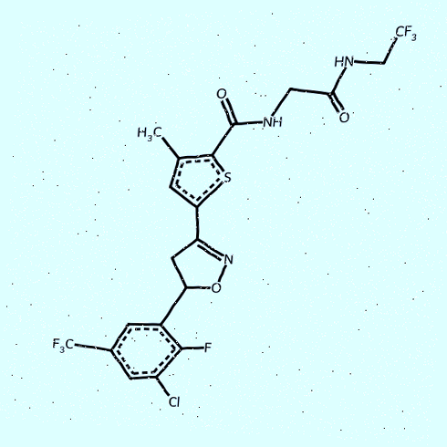 Cc1cc(C2=NOC(c3cc(C(F)(F)F)cc(Cl)c3F)C2)sc1C(=O)NCC(=O)NCC(F)(F)F